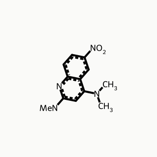 CNc1cc(N(C)C)c2cc([N+](=O)[O-])ccc2n1